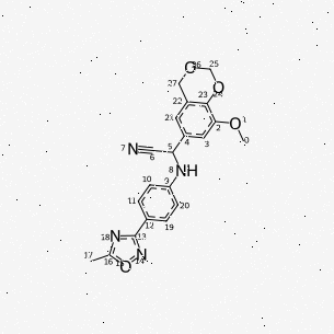 COc1cc(C(C#N)Nc2ccc(-c3noc(C)n3)cc2)cc2c1OCOC2